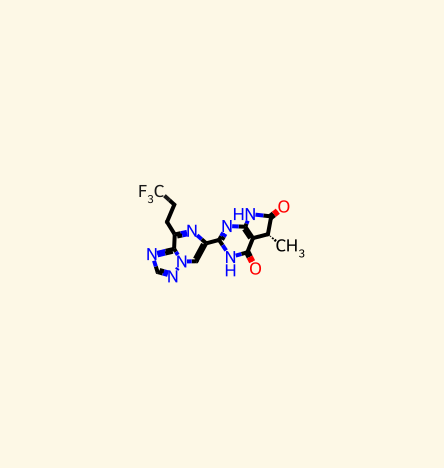 C[C@H]1C(=O)Nc2nc(-c3cn4ncnc4c(CCC(F)(F)F)n3)[nH]c(=O)c21